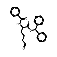 O=CCCCC(NC(=O)c1ccccc1)C(=O)OC(c1ccccc1)c1ccccc1